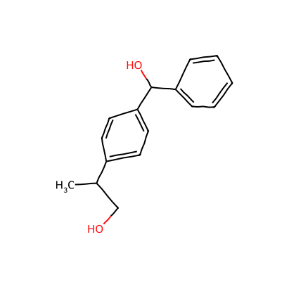 CC(CO)c1ccc(C(O)c2ccccc2)cc1